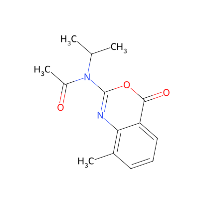 CC(=O)N(c1nc2c(C)cccc2c(=O)o1)C(C)C